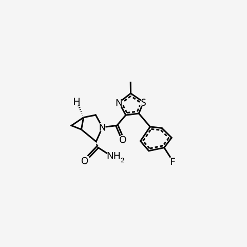 Cc1nc(C(=O)N2C[C@@H]3CC3[C@H]2C(N)=O)c(-c2ccc(F)cc2)s1